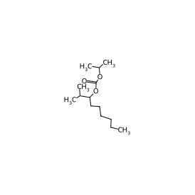 CCCCCCC(OC(=O)OC(C)C)C(C)C